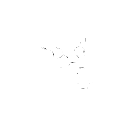 Cc1cnc2c(C(=O)CN3CCC(F)CC3)c(C)n(-c3ccc(C#N)cc3)c2c1